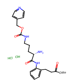 COC(=O)CCc1ccccc1NC(=O)[C@@H](N)CCCNC(=O)OCc1ccncc1.Cl.Cl